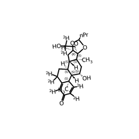 [2H]C1=C([2H])[C@@]2(C)C(=C([2H])C1=O)C([2H])([2H])C[C@@H]1[C@@H]2[C@@H](O)C[C@@]2(C)[C@H]1C[C@H]1OC(CCC)O[C@]12C(=O)C([2H])([2H])O